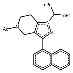 CCCC(CCC)n1nc(-c2cccc3ccccc23)c2c1CCN(C(C)=O)C2